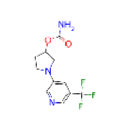 NC(=O)OC1CCN(c2cncc(C(F)(F)F)c2)C1